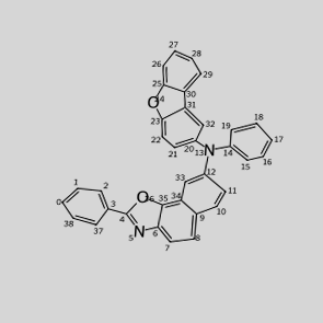 c1ccc(-c2nc3ccc4ccc(N(c5ccccc5)c5ccc6oc7ccccc7c6c5)cc4c3o2)cc1